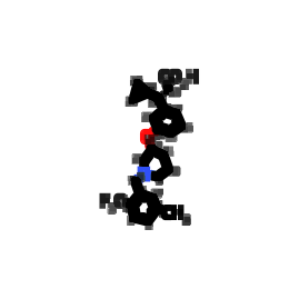 Cc1ccc(C(F)(F)F)c(CN2CCCC(Oc3cccc([C@@H](CC(=O)O)C4CC4)c3)C2)c1